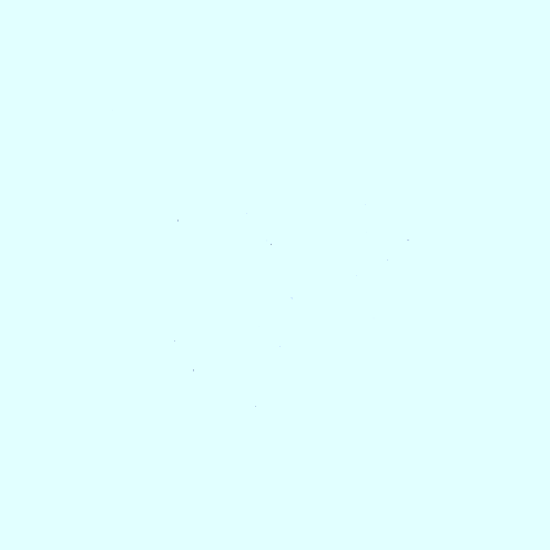 CC(C)c1cccc2c1oc1cc(N(c3ccc4c(c3)C(C)(C)c3ccccc3-4)c3ccc4c(c3)C3(CCCC3)c3ccccc3-4)ccc12